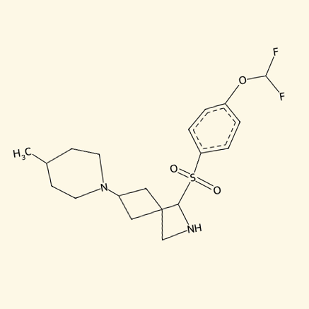 CC1CCN(C2CC3(CNC3S(=O)(=O)c3ccc(OC(F)F)cc3)C2)CC1